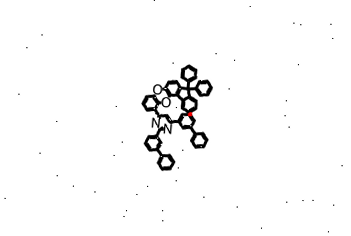 c1ccc(-c2cccc(-c3cc(-c4cccc5c4Oc4c(ccc6c4-c4ccccc4C6(c4ccccc4)c4ccccc4)O5)nc(-c4cccc(-c5ccccc5)c4)n3)c2)cc1